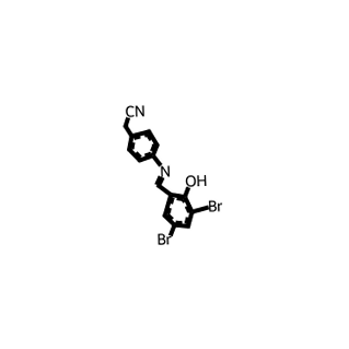 N#CCc1ccc(/N=C/c2cc(Br)cc(Br)c2O)cc1